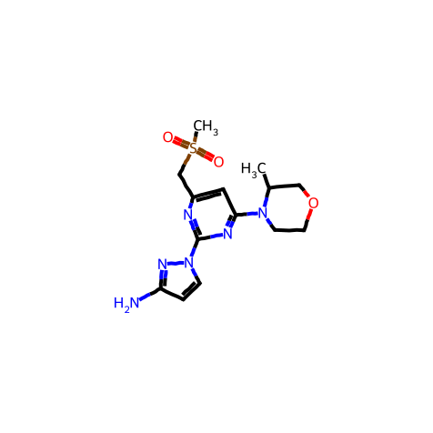 CC1COCCN1c1cc(CS(C)(=O)=O)nc(-n2ccc(N)n2)n1